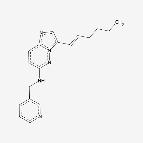 CCCCC=Cc1cnc2ccc(NCc3cccnc3)nn12